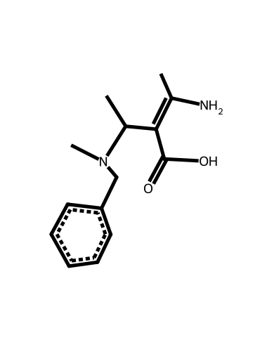 C/C(N)=C(/C(=O)O)C(C)N(C)Cc1ccccc1